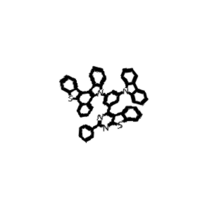 c1ccc(-c2nc(-c3cc(-n4c5ccccc5c5ccccc54)cc(-n4c5ccccc5c5c6c7ccccc7sc6c6ccccc6c54)c3)c3c(n2)sc2ccccc23)cc1